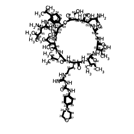 CC[C@H](C)[C@@H]1NC(=O)[C@@H](CCCNC(=N)NC(=O)Nc2ccc(N3CCOCC3)cc2)NC(=O)[C@H](CC(C)C)NC(=O)[C@H]([C@H](O)C(C)C)NC(=O)[C@@H](NC(=O)[C@H](CC(C)C)NC(=O)[C@H](N)CC(C)C)[C@@H](c2ccccc2)OC(=O)[C@H](CO)NC(=O)[C@H]([C@H](O)C(N)=O)NC(=O)CNC(=O)[C@H]([C@H](C)O)NC1=O